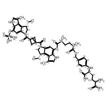 Cc1c[nH]c2c(OC(=O)N(C)CCN(C)C(=O)OCc3ccc(N[C@@H](CCC(N)C(N)=O)C(N)=O)cc3)cc3c(c12)[C@H](CCl)CN3C(=O)C12CC(C(=O)N3C[C@@H](CCl)c4c3cc(OP(=O)(O)O)c3[nH]cc(C)c43)(C1)C2